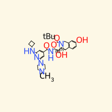 CN1CCN(c2cc(C(=O)NC[C@@H](O)[C@@H]3Cc4ccc(O)cc4CN3C(=O)OC(C)(C)C)cc(NC3CCC3)n2)CC1